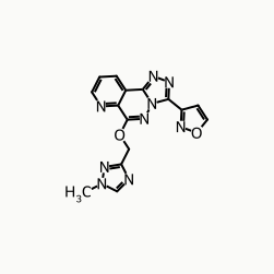 Cn1cnc(COc2nn3c(-c4ccon4)nnc3c3cccnc23)n1